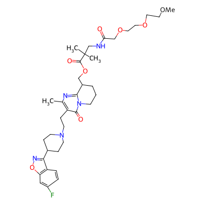 COCCOCCOCC(=O)NCC(C)(C)C(=O)OCC1CCCn2c1nc(C)c(CCN1CCC(c3noc4cc(F)ccc34)CC1)c2=O